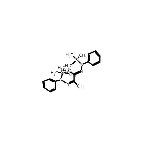 CC(=NN(c1ccccc1)[Si](C)(C)C)C(C)=NN(c1ccccc1)[Si](C)(C)C